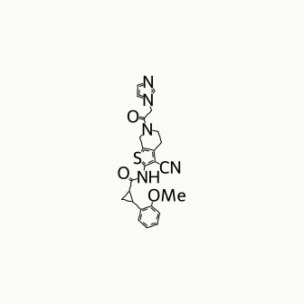 COc1ccccc1C1CC1C(=O)Nc1sc2c(c1C#N)CCN(C(=O)Cn1ccnc1)C2